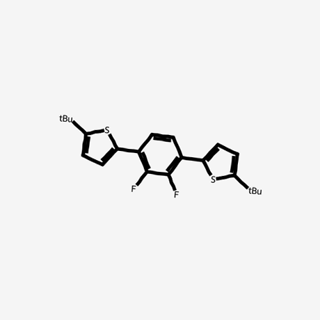 CC(C)(C)c1ccc(-c2ccc(-c3ccc(C(C)(C)C)s3)c(F)c2F)s1